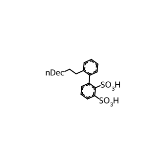 CCCCCCCCCCCCc1ccccc1-c1cccc(S(=O)(=O)O)c1S(=O)(=O)O